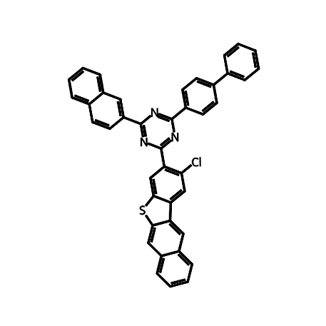 Clc1cc2c(cc1-c1nc(-c3ccc(-c4ccccc4)cc3)nc(-c3ccc4ccccc4c3)n1)sc1cc3ccccc3cc12